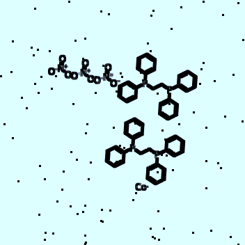 O=[N+]([O-])[O-].O=[N+]([O-])[O-].O=[N+]([O-])[O-].[Co].c1ccc(P(CCP(c2ccccc2)c2ccccc2)c2ccccc2)cc1.c1ccc(P(CCP(c2ccccc2)c2ccccc2)c2ccccc2)cc1